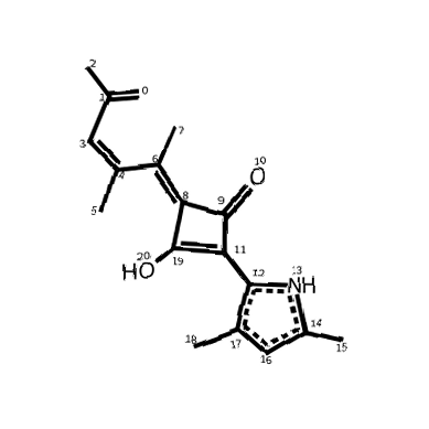 C=C(C)/C=C(C)\C(C)=C1\C(=O)C(c2[nH]c(C)cc2C)=C1O